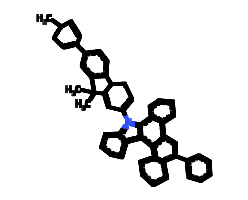 CC1C=CC(c2ccc3c(c2)C(C)(C)C2=CC(n4c5ccccc5c5c6c7ccccc7c(-c7ccccc7)cc6c6ccccc6c54)=CCC23)=CC1